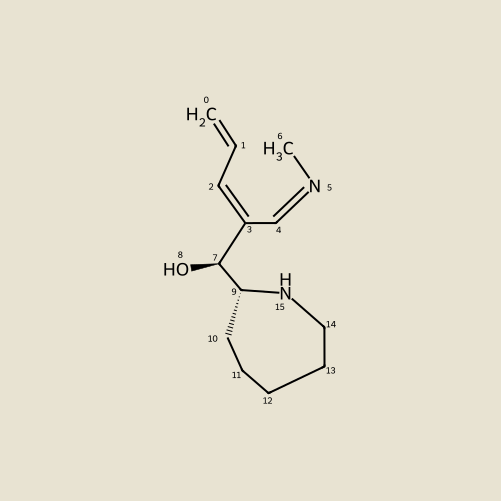 C=C/C=C(\C=N/C)[C@H](O)[C@H]1CCCCCN1